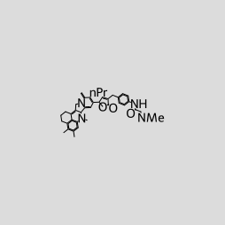 C=C1C(CCC)=C(C2C=C(Cc3ccc(NC(=O)CNC)cc3)C(=O)O2)C=C2C3C(=C4CCCc5c(C)c(C)cc(c54)N3C)CN12